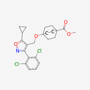 COC(=O)C12CCC(OCc3c(-c4c(Cl)cccc4Cl)noc3C3CC3)(CC1)CC2